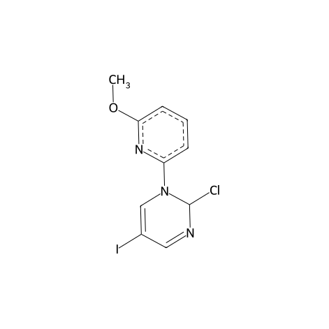 COc1cccc(N2C=C(I)C=NC2Cl)n1